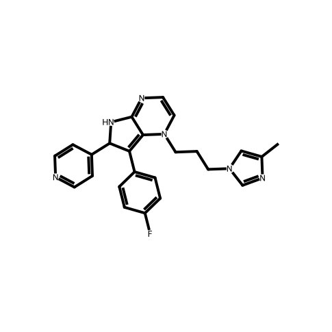 Cc1cn(CCCN2C=CN=C3NC(c4ccncc4)C(c4ccc(F)cc4)=C32)cn1